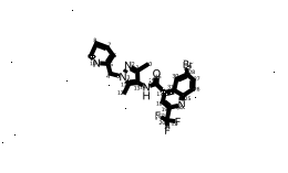 Cc1nn(Cc2ccccn2)c(C)c1NC(=O)c1cc(C(F)(F)F)nc2ccc(Br)cc12